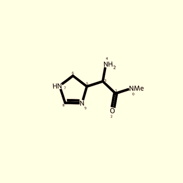 CNC(=O)C(N)C1CNC=N1